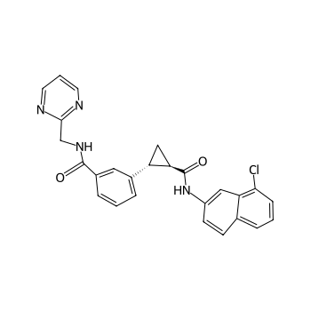 O=C(NCc1ncccn1)c1cccc([C@@H]2C[C@H]2C(=O)Nc2ccc3cccc(Cl)c3c2)c1